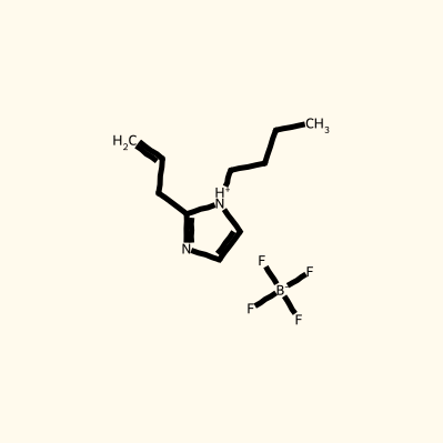 C=CCC1=NC=C[NH+]1CCCC.F[B-](F)(F)F